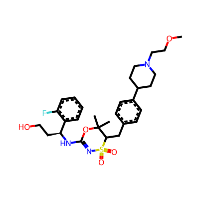 COCCN1CCC(c2ccc(CC3C(C)(C)OC(N[C@@H](CCO)c4ccccc4F)=NS3(=O)=O)cc2)CC1